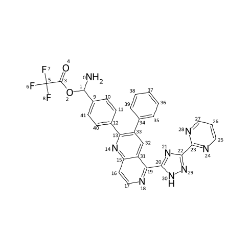 NC(OC(=O)C(F)(F)F)c1ccc(-c2nc3ccnc(-c4nc(-c5ncccn5)n[nH]4)c3cc2-c2ccccc2)cc1